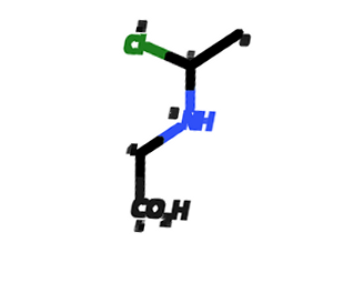 CC(Cl)NCC(=O)O